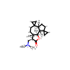 CCCCN(C)C[C@@H]1C(=O)O[C@H]2[C@H]1CCC1(CC1)[C@@H]1CCC3(CC3)[C@H]21